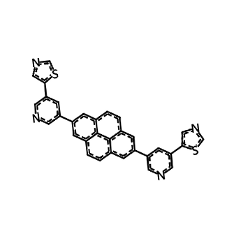 c1ncc(-c2cncc(-c3cc4ccc5cc(-c6cncc(-c7cncs7)c6)cc6ccc(c3)c4c56)c2)s1